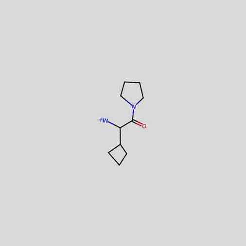 [NH]C(C(=O)N1CCCC1)C1CCC1